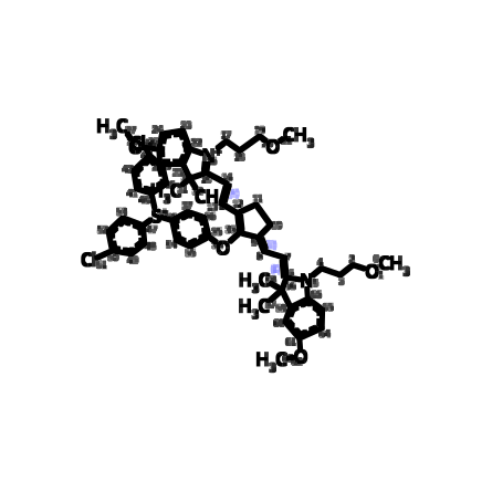 COCCCN1/C(=C/C=C2\CCC(/C=C/C3=[N+](CCCOC)c4ccc(OC)cc4C3(C)C)=C2Oc2ccc([S+](c3ccc(Cl)cc3)c3ccc(Cl)cc3)cc2)C(C)(C)c2cc(OC)ccc21